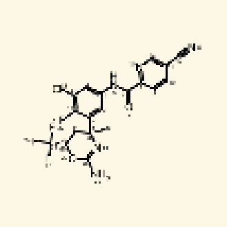 C[C@]1(c2cc(NC(=O)c3ccc(C#N)cn3)cc(Cl)c2F)C[C@@H](C(F)(F)F)OC(N)=N1